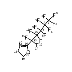 FC(F)(F)C(F)(F)C(F)(F)C(F)(F)C(F)(F)C1=NCCO1